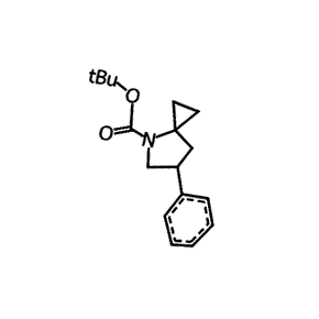 CC(C)(C)OC(=O)N1CC(c2ccccc2)CC12CC2